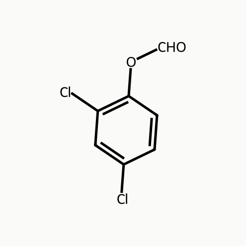 O=COc1ccc(Cl)cc1Cl